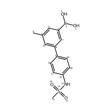 Cc1cc(B(O)O)cc(-c2ccc(NS(C)(=O)=O)cc2)c1